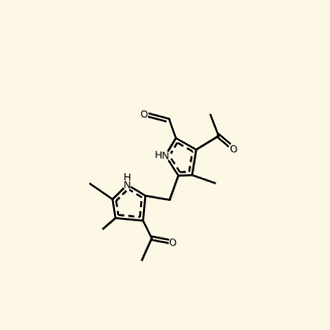 CC(=O)c1c(C=O)[nH]c(Cc2[nH]c(C)c(C)c2C(C)=O)c1C